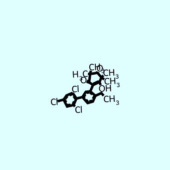 CCc1ccc(-c2c(Cl)cc(Cl)cc2Cl)cc1C1=C(O)C(C)(C)C(=O)C(C)(C)C1=O